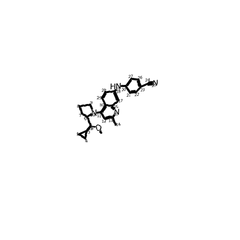 CO[C@@H](C1CC1)C1CCCN1c1cc(C)nc2cc(Nc3ccc(C#N)cc3)ccc12